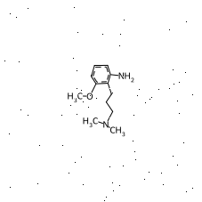 COc1cccc(N)c1CCCN(C)C